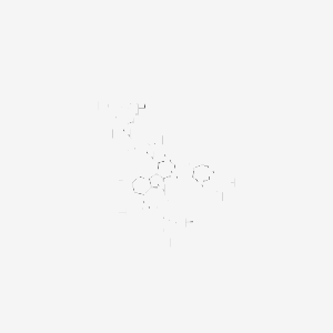 C[C@@H](O)c1ncc(Oc2nc(N3C[C@H]4C[C@@H]3C[C@H]4NC(=O)OC(C)(C)C)c3c(n2)[nH]c2c(N(C)C(=O)OC(C)(C)C)cc(F)cc23)cn1